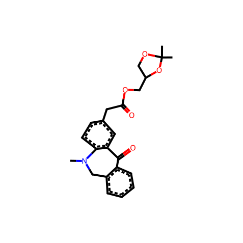 CN1Cc2ccccc2C(=O)c2cc(CC(=O)OCC3COC(C)(C)O3)ccc21